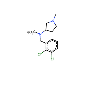 CN1CCC(N(Cc2cccc(Cl)c2Cl)C(=O)O)C1